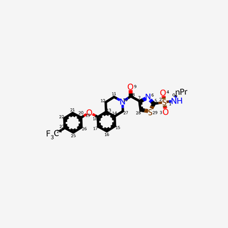 CCCNS(=O)(=O)c1nc(C(=O)N2CCc3c(cccc3Oc3ccc(C(F)(F)F)cc3)C2)cs1